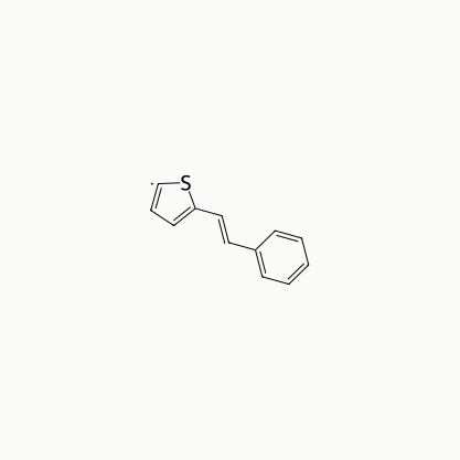 [c]1ccc(/C=C/c2ccccc2)s1